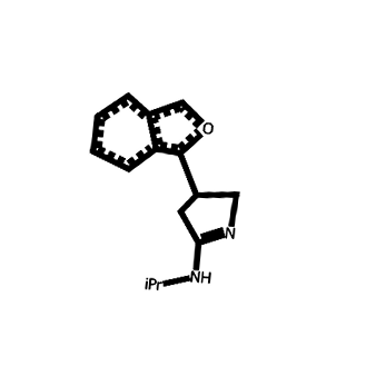 CC(C)NC1=NCC(c2occ3ccccc23)C1